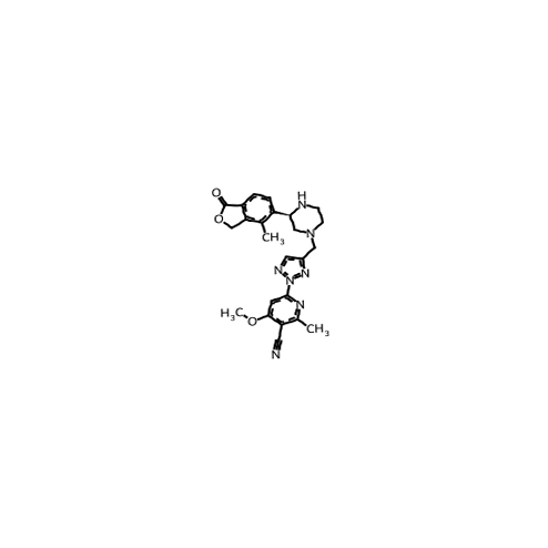 COc1cc(-n2ncc(CN3CCN[C@H](c4ccc5c(c4C)COC5=O)C3)n2)nc(C)c1C#N